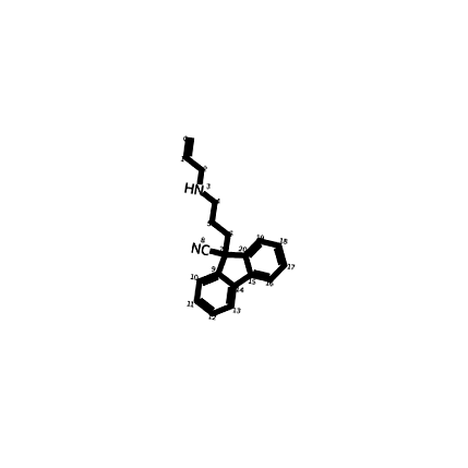 C=CCNCCCC1(C#N)c2ccccc2-c2ccccc21